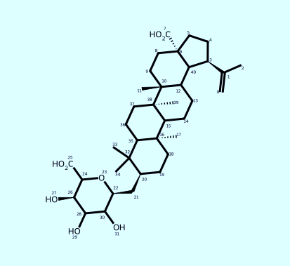 C=C(C)[C@@H]1CC[C@]2(C(=O)O)CC[C@]3(C)C(CCC4[C@@]5(C)CC[C@@H](C[C@@H]6OC(C(=O)O)[C@H](O)C(O)C6O)C(C)(C)C5CC[C@]43C)C12